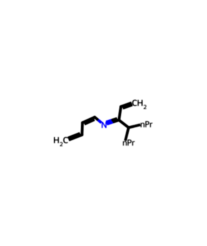 C=C/C=C\N=C(/C=C)C(CCC)CCC